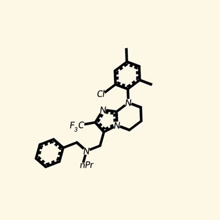 CCCN(Cc1ccccc1)Cc1c(C(F)(F)F)nc2n1CCCN2c1c(C)cc(C)cc1Cl